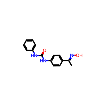 CC(=NO)c1ccc(NC(=O)Nc2ccccc2)cc1